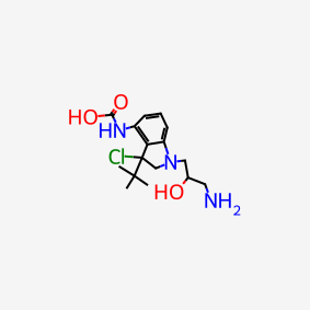 CC(C)(C)C1(Cl)CN(CC(O)CN)c2cccc(NC(=O)O)c21